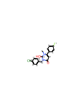 CN1C(c2ccc(F)cc2)=CC(=O)N(Cc2ccc(Cl)cc2)C1O